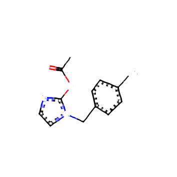 N#Cc1ccc(Cn2ccnc2OC(=O)C(F)(F)F)cc1